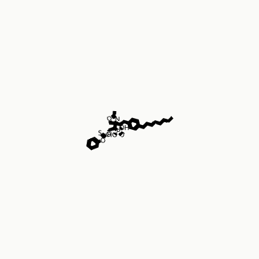 CCCCCCCCc1ccc(CCC2(C(COC(=S)Oc3ccccc3)P(=O)(O)O)COC(C)=N2)cc1